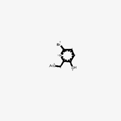 CC(=O)OCc1nc(Br)ccc1O